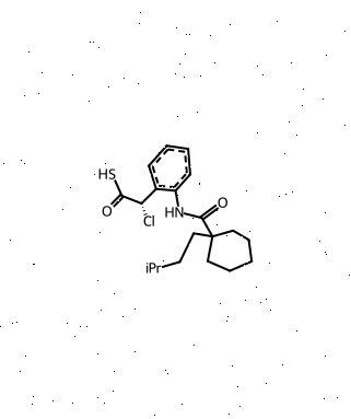 CC(C)CCC1(C(=O)Nc2ccccc2[C@H](Cl)C(=O)S)CCCCC1